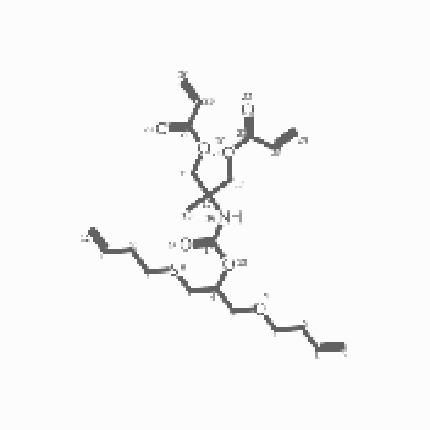 C=CCCOCC(CSCCC=C)OC(=O)NC(C)(COC(=O)C=C)COC(=O)C=C